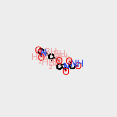 Bc1cc(C(B)(B)N2CCOCC2=O)cc(B)c1C(B)(B)Oc1cccc2c1CN(C1CCC(=O)NC1=O)C2=O